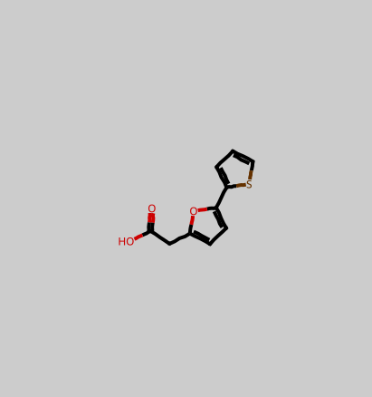 O=C(O)Cc1ccc(-c2cccs2)o1